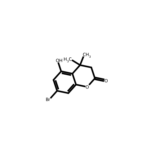 CC1(C)CC(=O)Oc2cc(Br)cc(O)c21